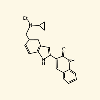 CCN(Cc1ccc2[nH]c(-c3cc4ccccc4[nH]c3=O)cc2c1)C1CC1